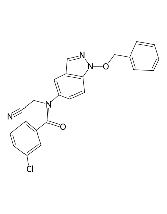 N#CCN(C(=O)c1cccc(Cl)c1)c1ccc2c(cnn2OCc2ccccc2)c1